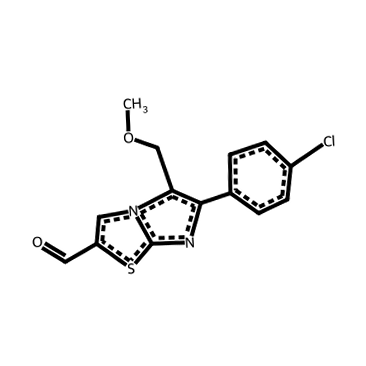 COCc1c(-c2ccc(Cl)cc2)nc2sc(C=O)cn12